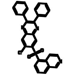 O=S(=O)(c1cc2nc(-c3ccccc3)c(-c3ccccc3)nc2cc1Cl)c1cccc2cnccc12